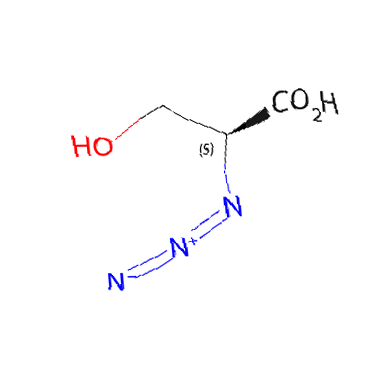 [N-]=[N+]=N[C@@H](CO)C(=O)O